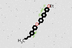 C/C=C/CCc1ccc(C2=CCC(OCC3CCC(c4ccc(-c5ccc(OCC)c(F)c5F)c(F)c4F)CC3)CC2)c(F)c1F